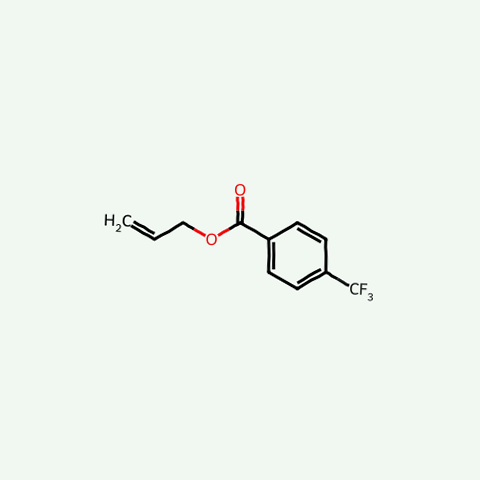 C=CCOC(=O)c1ccc(C(F)(F)F)cc1